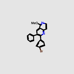 COc1nccc2nc(-c3ccc(Br)cc3)c(-c3ccccc3)cc12